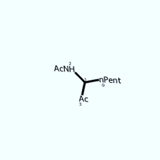 CCCCCC(NC(C)=O)C(C)=O